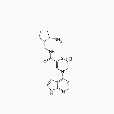 Cl.N[C@H]1CCC[C@H]1CNC(=O)C1=CN(c2ccnc3[nH]ccc23)CCS1